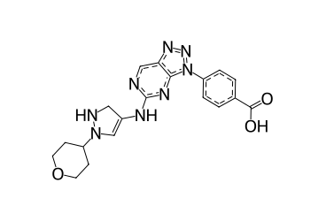 O=C(O)c1ccc(-n2nnc3cnc(NC4=CN(C5CCOCC5)NC4)nc32)cc1